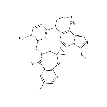 Cc1ccc(C(CC(=O)O)c2ccn3c(C(F)(F)F)nnc3c2C)nc1CN1CC2(CC2)Oc2ncc(F)cc2[S+]1[O-]